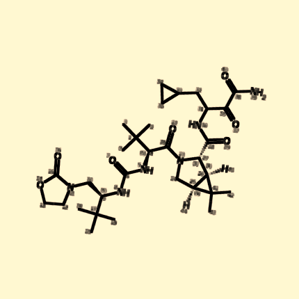 CC(C)(C)[C@H](NC(=O)N[C@H](CN1CCOC1=O)C(C)(C)C)C(=O)N1C[C@H]2[C@@H]([C@H]1C(=O)NC(CC1CC1)C(=O)C(N)=O)C2(C)C